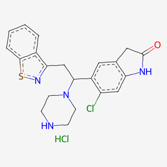 Cl.O=C1Cc2cc(C(Cc3nsc4ccccc34)N3CCNCC3)c(Cl)cc2N1